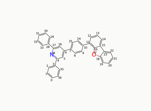 c1ccc(-c2cc(-c3ccc(-c4cccc5c4oc4ccccc45)cc3)cc(-c3ccccc3)n2)cc1